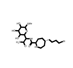 CSC1OC(C(NC(=O)C2CC[C@H](CCCCC(C)C)CCN2)C(C)Cl)C(O)C(O)C1O